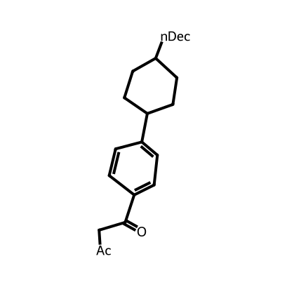 CCCCCCCCCCC1CCC(c2ccc(C(=O)CC(C)=O)cc2)CC1